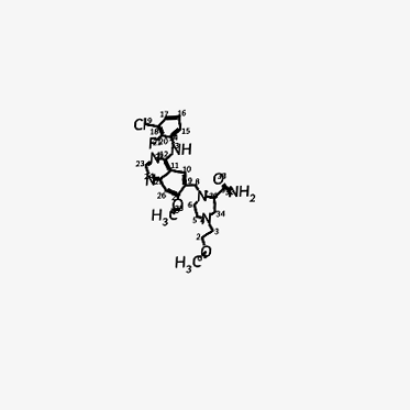 COCCN1CCN(Cc2cc3c(Nc4cccc(Cl)c4F)ncnc3cc2OC)C(C(N)=O)C1